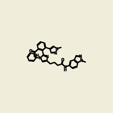 Cn1cc(-c2cccc(C(N)=O)c2-c2nc(CCCC(=O)Nc3ccc4c(cnn4C)c3)cn2-c2ccccc2)cn1